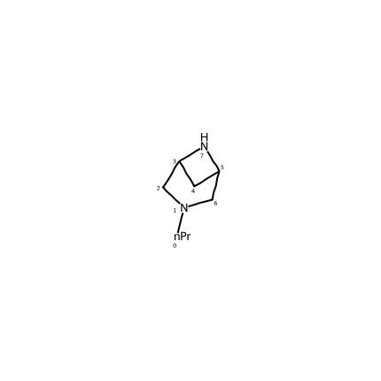 CCCN1CC2CC(C1)N2